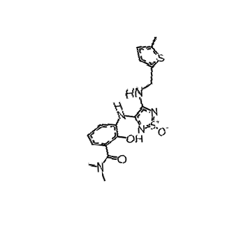 Cc1ccc(CNc2n[s+]([O-])nc2Nc2cccc(C(=O)N(C)C)c2O)s1